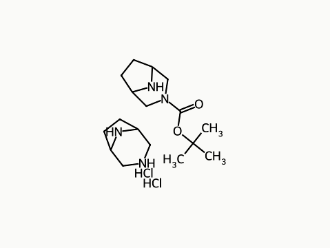 C1CC2CNCC1N2.CC(C)(C)OC(=O)N1CC2CCC(C1)N2.Cl.Cl